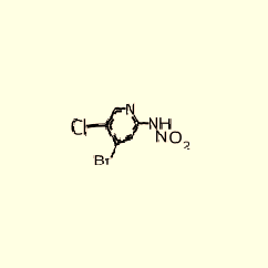 O=[N+]([O-])Nc1cc(Br)c(Cl)cn1